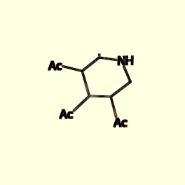 CC(=O)C1[CH]NCC(C(C)=O)C1C(C)=O